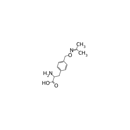 CC(C)=NOCc1ccc(CC(N)C(=O)O)cc1